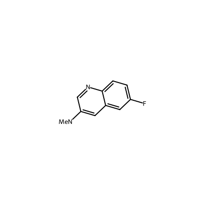 CNc1cnc2ccc(F)cc2c1